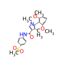 COc1cccc(OC)c1-c1c(C)c(C(=O)Nc2ccc(S(C)(=O)=O)cc2)cn1C